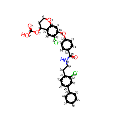 O=C(O)OC1CCOc2cc(Oc3ccc(C(=O)NCCc4ccc(-c5ccccc5)cc4Cl)cc3)c(Cl)cc21